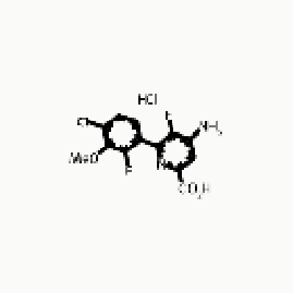 COc1c(Cl)ccc(-c2nc(C(=O)O)cc(N)c2F)c1F.Cl